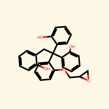 Oc1ccccc1CC(c1ccccc1O)(c1ccccc1O)c1ccccc1OCC1CO1